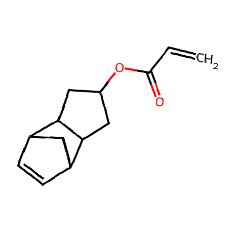 C=CC(=O)OC1CC2C3C=CC(C3)C2C1